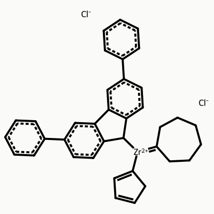 C1=CC[C]([Zr+2](=[C]2CCCCCC2)[CH]2c3ccc(-c4ccccc4)cc3-c3cc(-c4ccccc4)ccc32)=C1.[Cl-].[Cl-]